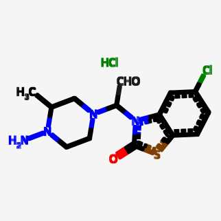 CC1CN(C(C=O)n2c(=O)sc3ccc(Cl)cc32)CCN1N.Cl